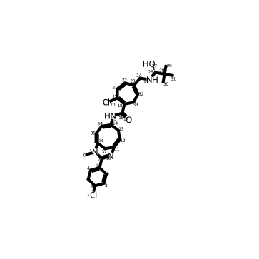 CN1C(C2=CCC(Cl)C=C2)=N/C2=C/C/C(NC(=O)C3=C(Cl)C=CC(CN[C@H](O)C(C)(C)C)=CC3)=C\C=C\1C2